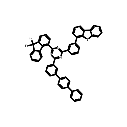 CCC1(CC)c2ccccc2-c2c(-c3nc(-c4cccc(-c5ccc(-c6ccccc6)cc5)c4)nc(-c4cccc(-c5cccc6c5sc5ccccc56)c4)n3)cccc21